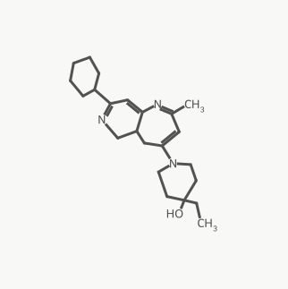 CCC1(O)CCN(C2=CC(C)=NC3=CC(C4CCCCC4)=NCC3C2)CC1